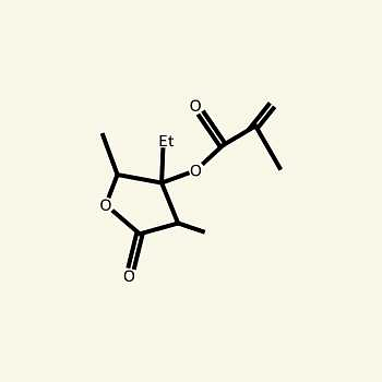 C=C(C)C(=O)OC1(CC)C(C)OC(=O)C1C